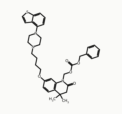 CC1(C)CC(=O)N(COC(=O)OCc2ccccc2)c2cc(OCCCCN3CCN(c4cccc5sccc45)CC3)ccc21